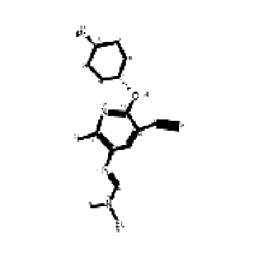 C#Cc1cc(/N=C/N(C)CC)c(C)nc1O[C@H]1CC[C@H](C(C)C)CC1